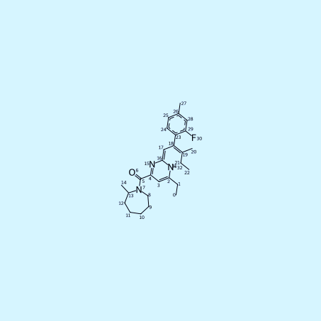 CCC1=CC(C(=O)N2CCCCCC2C)=N/C(=C/C(=C(/C)CC)c2ccc(C)cc2F)N1C